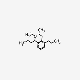 CCCc1cccc(C(CCC)O[SiH3])c1CCC